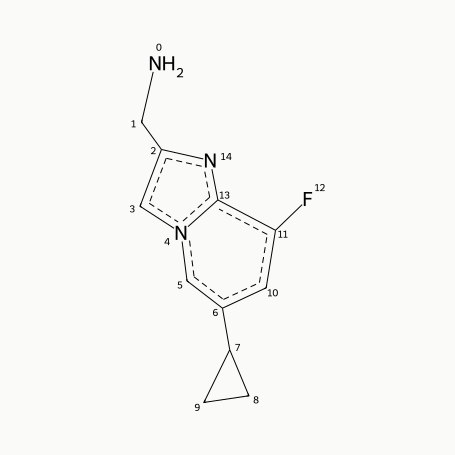 NCc1cn2cc(C3CC3)cc(F)c2n1